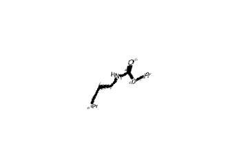 CC(C)CCNC(=O)OC(C)C